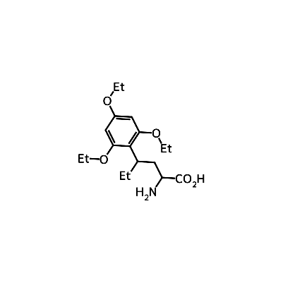 CCOc1cc(OCC)c(C(CC)CC(N)C(=O)O)c(OCC)c1